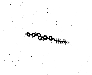 Cc1ccc(-c2ccc3c(c2)oc2ccc4c(ccc5oc6cc(-c7ccc(CCC(F)(F)C(F)(F)C(F)(F)C(F)(F)C(F)(F)C(F)(F)C(F)(F)F)cc7)ccc6c54)c23)cc1